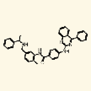 Cc1ccc(CNC(C)c2ccccc2)cc1NC(=O)c1ccc(Nc2nc(-c3ccccc3)c3ccccc3n2)cc1